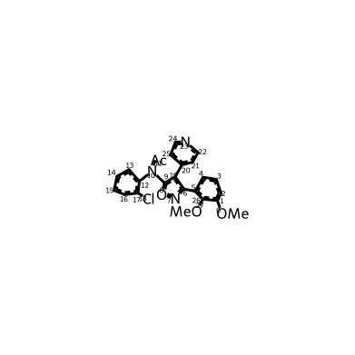 COc1cccc(-c2noc(N(C(C)=O)c3ccccc3Cl)c2-c2ccncc2)c1OC